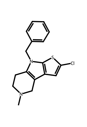 CN1CCc2c(c3cc(Cl)sc3n2Cc2ccccc2)C1